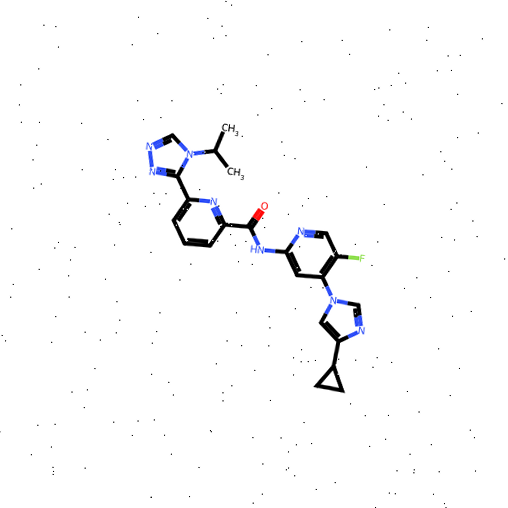 CC(C)n1cnnc1-c1cccc(C(=O)Nc2cc(-n3cnc(C4CC4)c3)c(F)cn2)n1